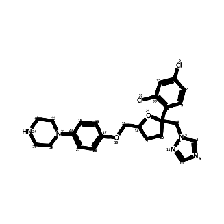 Clc1ccc(C2(Cn3cncn3)CCC(COc3ccc(N4CCNCC4)cc3)O2)c(Cl)c1